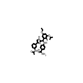 CCOc1cc(OC(C)C)c(F)c(C(Nc2ccc(C(=N)N)cc2)c2nc(-c3cccc(NC(C)=O)c3)c[nH]2)c1